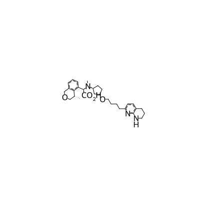 C[C@@H]1COCc2cccc([C@H](C(=O)O)N(C)[C@H]3CC[C@H](OCCCCc4ccc5c(n4)NCCC5)C3)c21